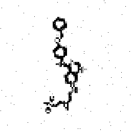 CN(CCNN1C=CC2=C(Nc3ccc(OCc4ccccc4)cc3)N=CNC2=C1)CCS(C)(=O)=O